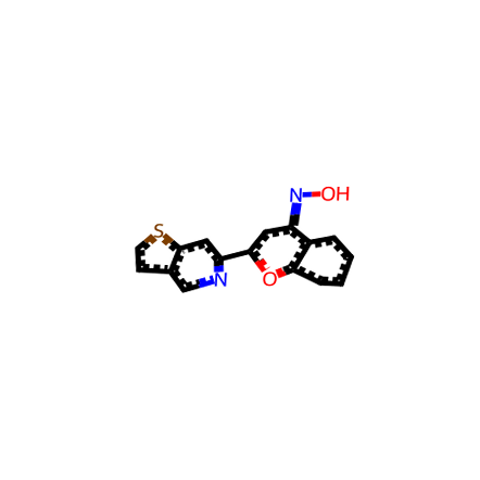 O/N=c1/cc(-c2cc3sccc3cn2)oc2ccccc12